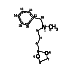 CN(CCCC1OCCO1)Cc1ccccc1